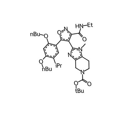 CCCCOc1cc(OCCCC)c(C(C)C)cc1-c1onc(C(=O)NCC)c1-c1nc2c(n1C)CCN(C(=O)OC(C)(C)C)C2